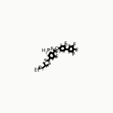 CCOCC1CSC(c2cc(F)c(C(F)(F)Oc3ccc(-c4cc(F)c(F)c(F)c4)c(F)c3)c(P)c2)SC1